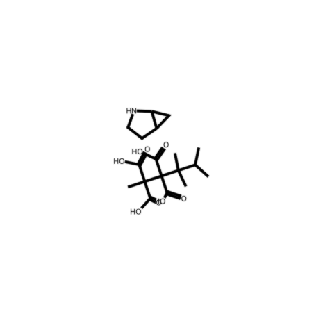 C1CC2CC2N1.CC(C)C(C)(C)C(C(=O)O)(C(=O)O)C(C)(C(=O)O)C(=O)O